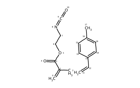 C=C(C)C(=O)OCCN=C=O.C=Cc1ccc(C)cc1